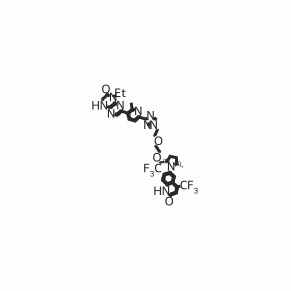 CCN1C(=O)CNc2ncc(-c3ccc(-c4ncn(CCOCCOC([C@H]5CC[C@H](C)N5c5ccc6[nH]c(=O)cc(C(F)(F)F)c6c5)C(F)(F)F)n4)nc3C)nc21